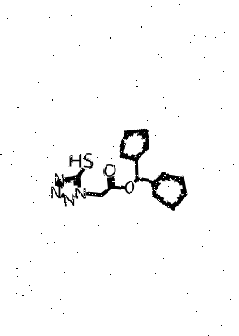 O=C(Cn1nnnc1S)OC(c1ccccc1)c1ccccc1